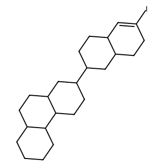 IC1=CC2CCC(C3CCC4C(CCC5CCCCC54)C3)CC2CC1